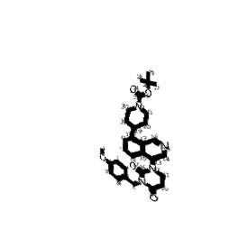 COc1ccc(CN2C(=O)CCN(c3cncc4c(C5CCN(C(=O)OC(C)(C)C)CC5)cccc34)C2=O)cc1